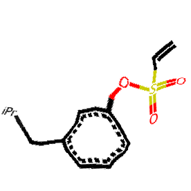 C=CS(=O)(=O)Oc1cccc(CC(C)C)c1